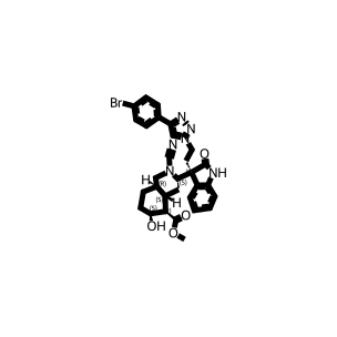 COC(=O)[C@@H]1[C@H]2C[C@@H]([C@@]3(CCn4cc(-c5ccc(Br)cc5)nn4)C(=O)Nc4ccccc43)N(C#N)C[C@@H]2CC[C@@H]1O